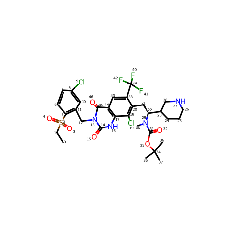 CCS(=O)(=O)c1ccc(Cl)cc1Cn1c(=O)[nH]c2c(Cl)c(C[C@@H](C3CCCNC3)N(C)C(=O)OC(C)(C)C)c(C(F)(F)F)cc2c1=O